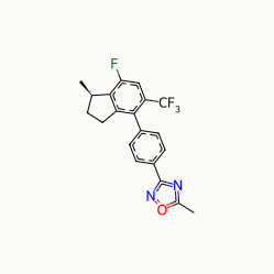 Cc1nc(-c2ccc(-c3c(C(F)(F)F)cc(F)c4c3CC[C@H]4C)cc2)no1